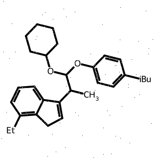 CCc1cccc2c1CC=C2C(C)C(Oc1ccc(C(C)CC)cc1)OC1CCCCC1